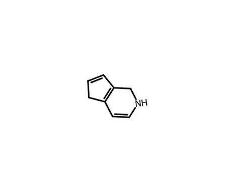 C1=CC2=C(C=CNC2)C1